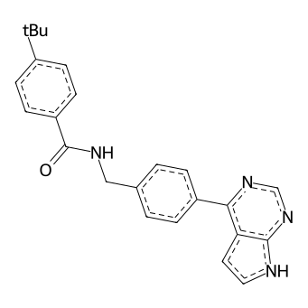 CC(C)(C)c1ccc(C(=O)NCc2ccc(-c3ncnc4[nH]ccc34)cc2)cc1